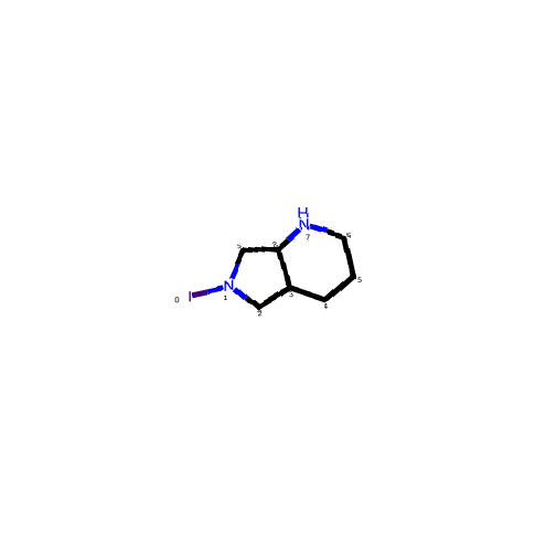 IN1CC2CCCNC2C1